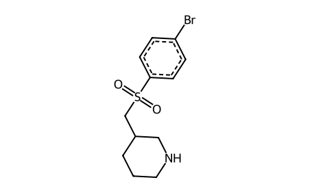 O=S(=O)(CC1CCCNC1)c1ccc(Br)cc1